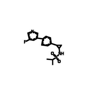 CC(C)S(=O)(=O)NC1CC1c1ccc(-c2cncc(F)c2)cc1